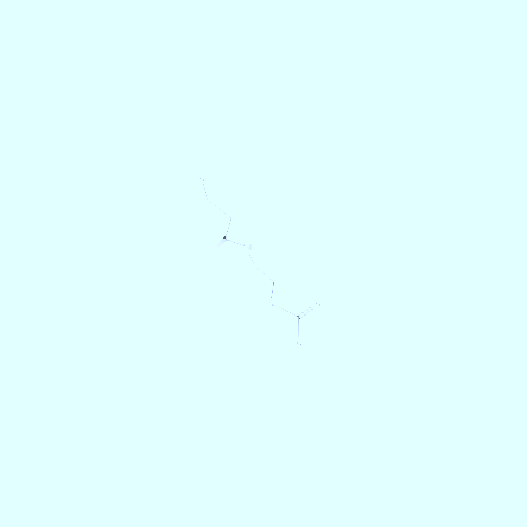 N=C(N)NCCNC(=O)CCN